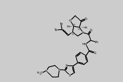 CC(C)C(NC(=O)c1ccc(-c2csc(N3CCN(C)CC3)n2)cc1)C(=O)N1C[C@@H](C=C(Br)Br)[C@H]2OCC(=O)[C@H]21